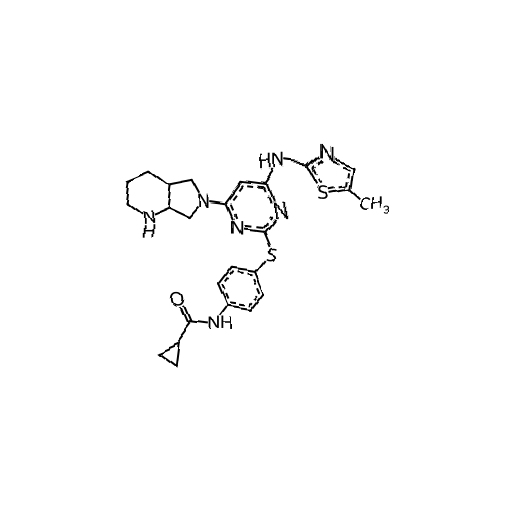 Cc1cnc(Nc2cc(N3CC4CCCNC4C3)nc(Sc3ccc(NC(=O)C4CC4)cc3)n2)s1